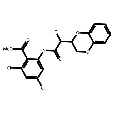 COC(=O)c1c(Cl)cc(Cl)cc1NC(=S)C(C)C1COc2ccccc2O1